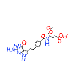 CC(=O)OCC(CCC(=O)O)NC(=O)c1ccc(CCc2c[nH]c3nc(N)[nH]c(=O)c23)cc1